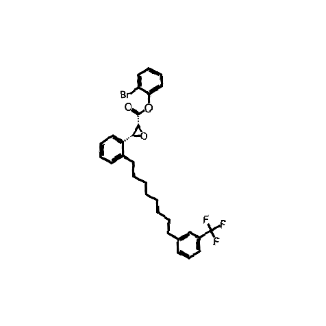 O=C(Oc1ccccc1Br)[C@@H]1O[C@@H]1c1ccccc1CCCCCCCCc1cccc(C(F)(F)F)c1